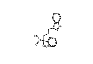 O=C(O)C(CCCc1c[nH]c2ccccc12)(c1ccccc1)[PH](=O)O